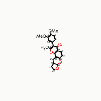 COc1ccc(-c2c(C)oc3c4c(ccc3c2=O)OC2OCCC2C4)cc1OC